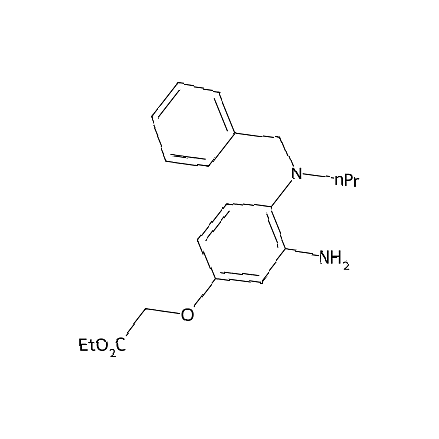 CCCN(Cc1ccccc1)c1ccc(OCC(=O)OCC)cc1N